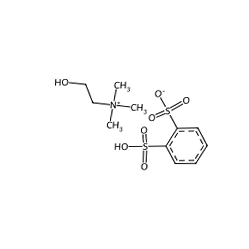 C[N+](C)(C)CCO.O=S(=O)([O-])c1ccccc1S(=O)(=O)O